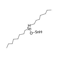 CCCCCCC[CH2][SnH]([CH2]CCCCCCC)[O][SnH]